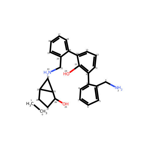 CC.NCc1ccccc1-c1cccc(-c2ccccc2CN)c1O.OC1CCC2CC12